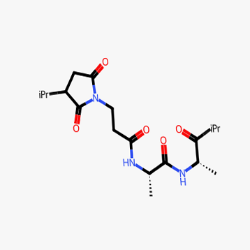 CC(C)C(=O)[C@H](C)NC(=O)[C@H](C)NC(=O)CCN1C(=O)CC(C(C)C)C1=O